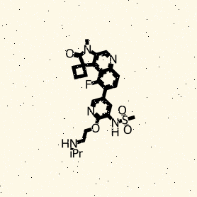 CC(C)NCCOc1ncc(-c2ccc3ncc4c(c3c2F)C2(CCC2)C(=O)N4C)cc1NS(C)(=O)=O